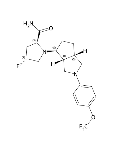 NC(=O)[C@@H]1C[C@@H](F)CN1[C@H]1CC[C@@H]2CN(c3ccc(OC(F)(F)F)cc3)C[C@@H]21